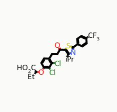 CCC(Oc1ccc(CCC(=O)c2sc(-c3ccc(C(F)(F)F)cc3)nc2C(C)C)c(Cl)c1Cl)C(=O)O